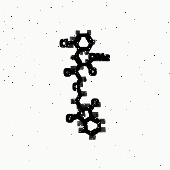 COC(=O)/C(=C\c1ccccc1Cl)C(=O)COCCN1C(=O)c2ccccc2C1=O